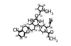 C=CC(=O)N1CCN(C2NC(OCC3CCCN3C)NC3C[C@]4(CCc5c(Cl)cccc5O4)CCC32)CC1CC#N